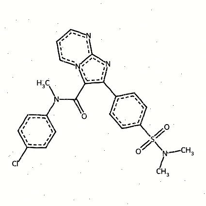 CN(C(=O)c1c(-c2ccc(S(=O)(=O)N(C)C)cc2)nc2ncccn12)c1ccc(Cl)cc1